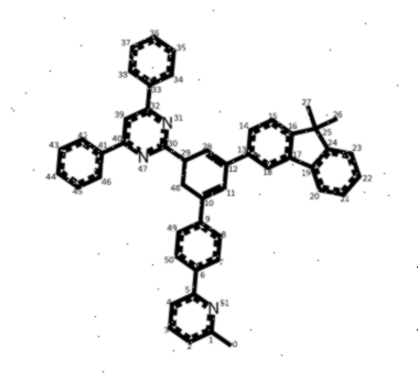 Cc1cccc(-c2ccc(C3=CC(c4ccc5c(c4)-c4ccccc4C5(C)C)=CC(c4nc(-c5ccccc5)cc(-c5ccccc5)n4)C3)cc2)n1